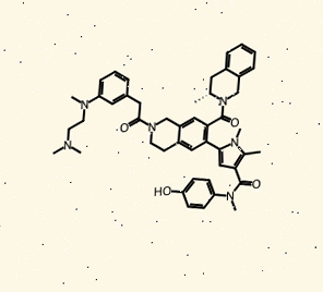 Cc1c(C(=O)N(C)c2ccc(O)cc2)cc(-c2cc3c(cc2C(=O)N2Cc4ccccc4C[C@H]2C)CN(C(=O)Cc2cccc(N(C)CCN(C)C)c2)CC3)n1C